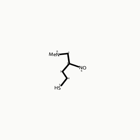 CNCC(CCS)N=O